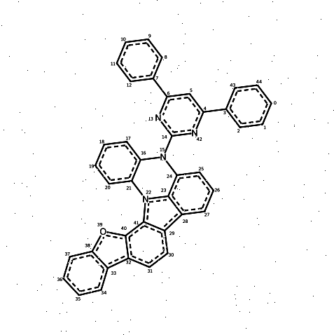 c1ccc(-c2cc(-c3ccccc3)nc(N3c4ccccc4-n4c5c3cccc5c3ccc5c6ccccc6oc5c34)n2)cc1